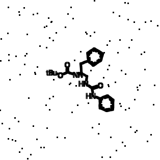 CC(C)(C)OC(=O)N[C@H](CNC(=O)Nc1ccccc1)Cc1ccccc1